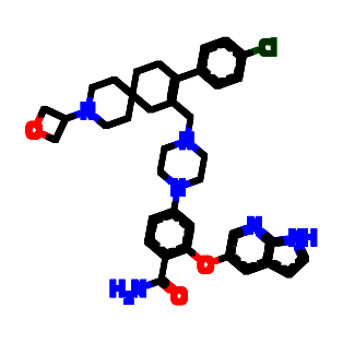 NC(=O)c1ccc(N2CCN(CC3=C(c4ccc(Cl)cc4)CCC4(CCN(C5COC5)CC4)C3)CC2)cc1Oc1cnc2[nH]ccc2c1